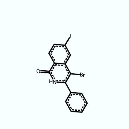 O=c1[nH]c(-c2ccccc2)c(Br)c2cc(I)ccc12